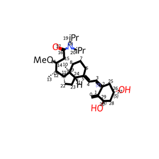 C=C1/C(=C\C=C2CCC[C@]3(C)[C@@H]([C@H](C)C(CC(=O)N(C(C)C)C(C)C)OC)CC[C@@H]23)C[C@H](O)C[C@H]1O